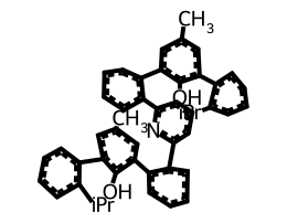 Cc1cc(-c2ccccc2-c2cccc(-c3ccccc3-c3cc(C)cc(-c4ccccc4C(C)C)c3O)n2)c(O)c(-c2ccccc2C(C)C)c1